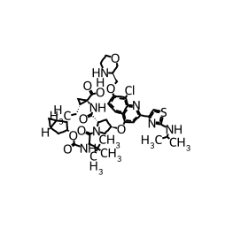 CC[C@@H]1C[C@]1(NC(=O)[C@@H]1C[C@@H](Oc2cc(-c3csc(NC(C)C)n3)nc3c(Cl)c(OC[C@@H]4COCCN4)ccc23)CN1C(=O)[C@@H](NC(=O)O[C@@H]1C[C@@H]2C[C@@H]2C1)C(C)(C)C)C(=O)O